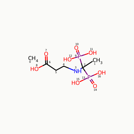 C.CC(NCCC(=O)O)(P(=O)(O)O)P(=O)(O)O